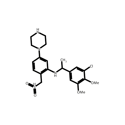 COc1cc(C(C)Nc2cc(N3CCNCC3)ccc2C[SH](=O)=O)cc(Cl)c1OC